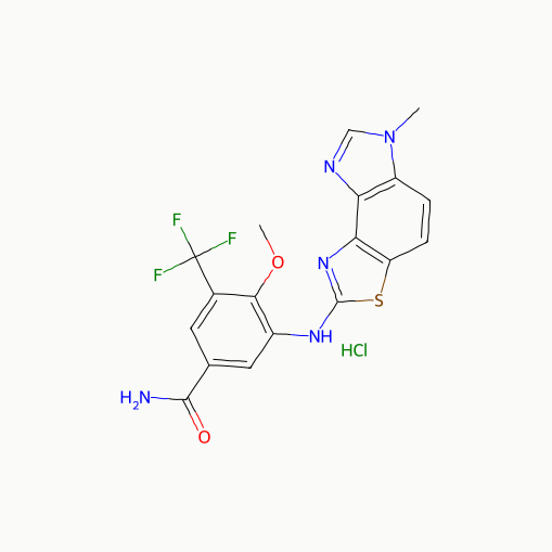 COc1c(Nc2nc3c(ccc4c3ncn4C)s2)cc(C(N)=O)cc1C(F)(F)F.Cl